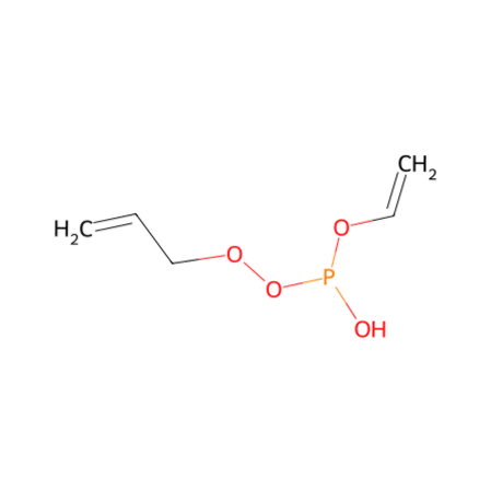 C=CCOOP(O)OC=C